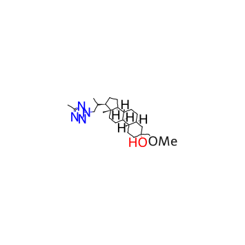 COC[C@@]1(O)CC[C@H]2[C@@H](CC[C@@H]3[C@@H]2CC[C@]2(C)[C@@H](C(C)Cn4nnc(C)n4)CC[C@@H]32)C1